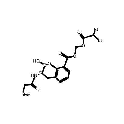 CCC(CC)C(=O)OCOC(=O)c1cccc2c1OB(O)[C@@H](NC(=O)CSC)C2